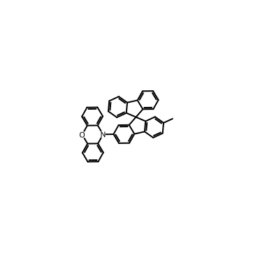 Cc1ccc2c(c1)C1(c3ccccc3-c3ccccc31)c1cc(N3c4ccccc4Oc4ccccc43)ccc1-2